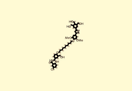 COc1cc(C2CC(c3cc(CO)c(CO)c(CO)c3)=NO2)cc(OC)c1OCCCCCCCCCCOc1ccc(C2NC(=O)c3cc(Cl)ccc3N2)cc1CO